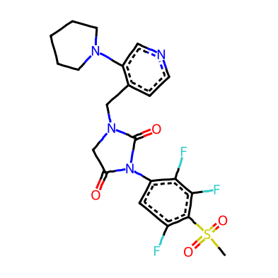 CS(=O)(=O)c1c(F)cc(N2C(=O)CN(Cc3ccncc3N3CCCCC3)C2=O)c(F)c1F